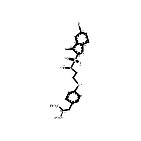 CCCN(CCOc1ccc(C[C@@H](OC)C(=O)OCC)cc1)S(=O)(=O)c1sc2ccc(F)cc2c1C